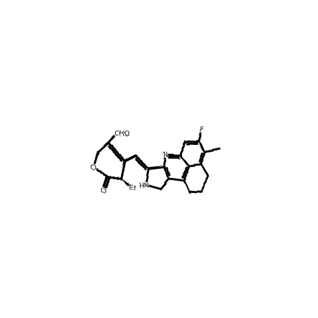 CC[C@H]1C(=O)OCC(C=O)=C1/C=C1\NCc2c1nc1cc(F)c(C)c3c1c2CCC3